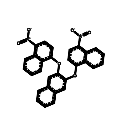 O=[N+]([O-])c1ccc(Oc2cc3ccccc3cc2Oc2ccc([N+](=O)[O-])c3ccccc23)c2ccccc12